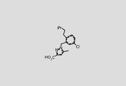 Cc1cc(C(=O)O)nn1Cc1cc(Cl)ccc1CCC(C)C